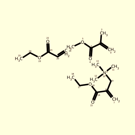 C=C(C)C(=O)OC.C=C(C[N+](C)(C)C)C(=O)OCC.C=CC(=O)OCC